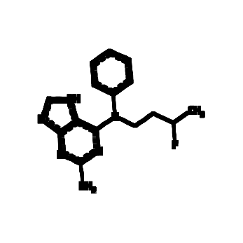 CC(F)CCN(c1ccccc1)c1nc(N)nc2nc[nH]c12